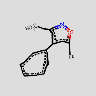 CCc1onc(C(=O)O)c1-c1ccccc1